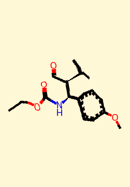 CCOC(=O)N[C@H](c1ccc(OC)cc1)[C@@H](C=O)C(C)C